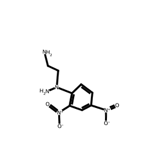 NCCN(N)c1ccc([N+](=O)[O-])cc1[N+](=O)[O-]